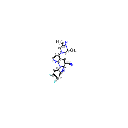 C[C@@H]1CN(c2ccnc3c2cc(C#N)c2nc4cc(F)c(F)cc4n23)C[C@H](C)N1